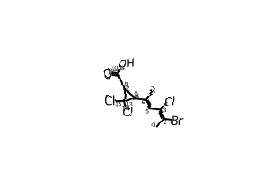 C/C(Br)=C(Cl)\C=C(/C)C1C(C(=O)O)C1(Cl)Cl